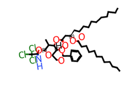 CCCCCCCCCCCC(=O)O[C@H](CCCCCCCCCCC)CC(=O)OC1C(C)[C@@H](OC(=N)C(Cl)(Cl)Cl)OC2COC(c3ccccc3)O[C@H]21